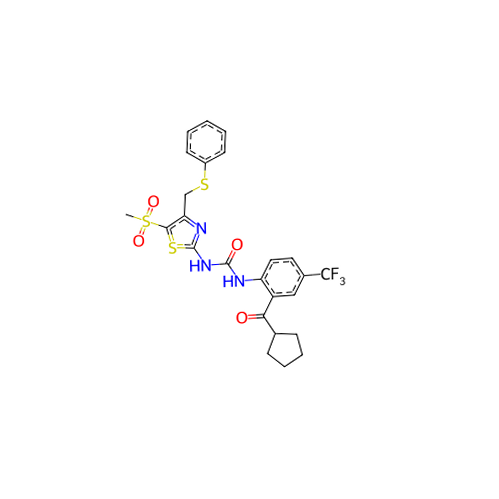 CS(=O)(=O)c1sc(NC(=O)Nc2ccc(C(F)(F)F)cc2C(=O)C2CCCC2)nc1CSc1ccccc1